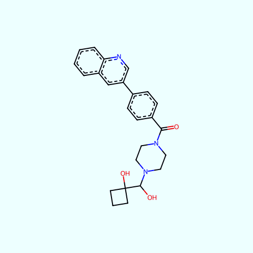 O=C(c1ccc(-c2cnc3ccccc3c2)cc1)N1CCN(C(O)C2(O)CCC2)CC1